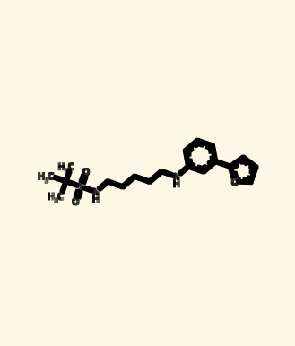 CC(C)(C)S(=O)(=O)NCCCCCNc1cccc(-c2ccco2)c1